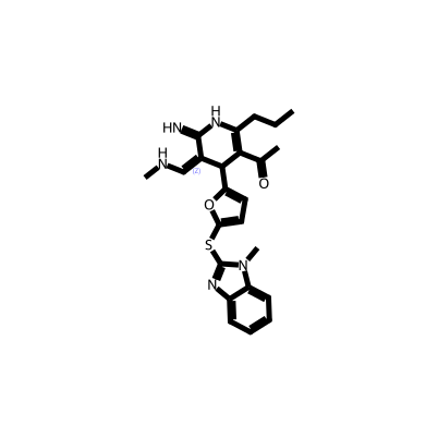 CCCC1=C(C(C)=O)C(c2ccc(Sc3nc4ccccc4n3C)o2)/C(=C/NC)C(=N)N1